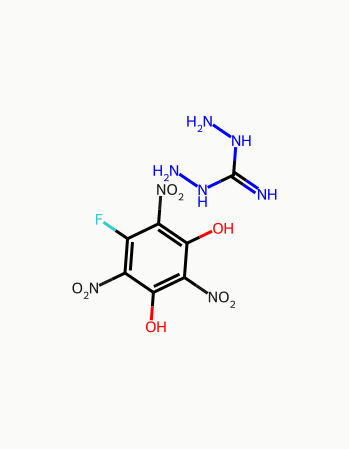 N=C(NN)NN.O=[N+]([O-])c1c(O)c([N+](=O)[O-])c(F)c([N+](=O)[O-])c1O